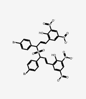 O=[N+]([O-])c1cc(C=CC(c2ccc(Br)cc2)S(=O)(=O)C(C=Cc2cc([N+](=O)[O-])cc([N+](=O)[O-])c2O)c2ccc(Br)cc2)c(O)c([N+](=O)[O-])c1